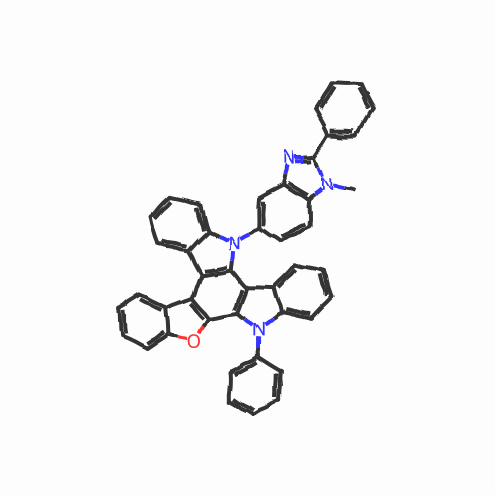 Cn1c(-c2ccccc2)nc2cc(-n3c4ccccc4c4c5c6ccccc6oc5c5c(c6ccccc6n5-c5ccccc5)c43)ccc21